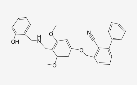 COc1cc(OCc2cccc(-c3ccccc3)c2C#N)cc(OC)c1CNCc1ccccc1O